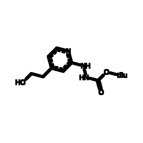 CC(C)(C)OC(=O)NNc1cc(CCO)ccn1